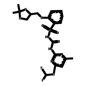 Cc1cc(OC(F)F)nc(NC(=O)NS(=O)(=O)c2ccccc2OCC2COC(C)(C)O2)n1